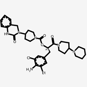 CCc1cc(C[C@@H](OC(=O)N2CCC(N3Cc4ccccc4NC3=O)CC2)C(=O)N2CCC(N3CCCCC3)CC2)cc(Cl)c1N